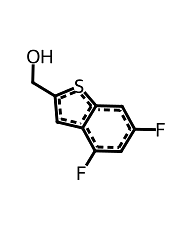 OCc1cc2c(F)cc(F)cc2s1